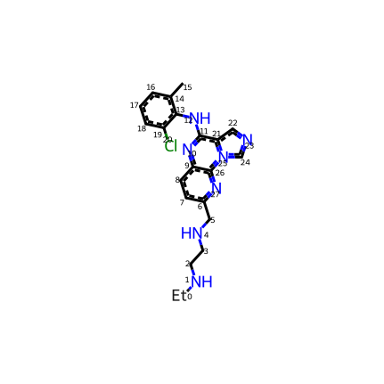 CCNCCNCc1ccc2nc(Nc3c(C)cccc3Cl)c3cncn3c2n1